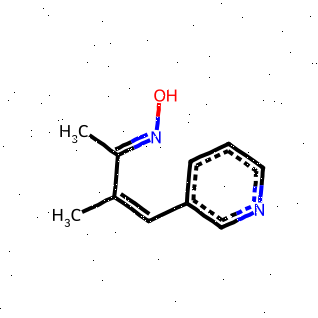 CC(=Cc1cccnc1)C(C)=NO